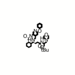 CC(C)(C)OCC(CN1CCOCC1)NC(=O)CC[C@H](NCc1cc(Oc2ccccc2)ncc1[N+](=O)[O-])C1CCCCC1